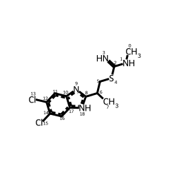 CNC(=N)SCC(C)c1nc2cc(Cl)c(Cl)cc2[nH]1